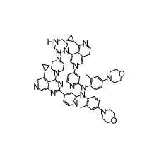 Cc1cc(N2CCOCC2)ccc1N(c1cc(-c2nc(N3CCNCC3)c3c(C4CC4)cncc3n2)ccn1)N(c1cc(N2C=C3CC=NC(C4CC4)=C3C(N3CCNCC3)=C2)ccn1)c1ccc(N2CCOCC2)cc1C